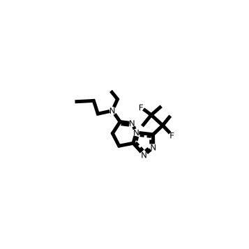 CCCN(CC)C1=Nn2c(nnc2C(C)(F)C(C)(C)F)CC1